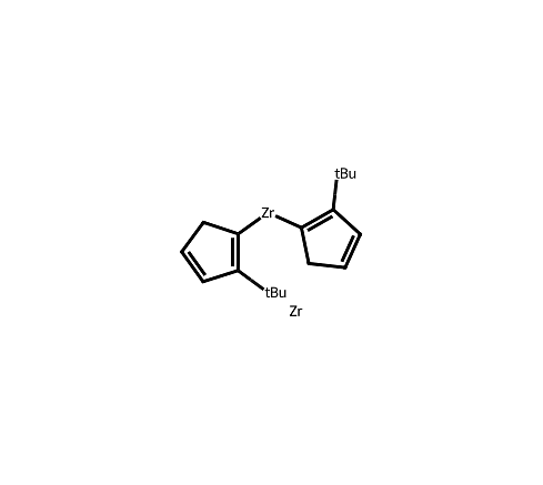 CC(C)(C)C1=[C]([Zr][C]2=C(C(C)(C)C)C=CC2)CC=C1.[Zr]